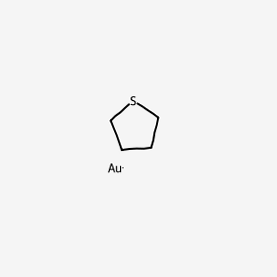 C1CCSC1.[Au]